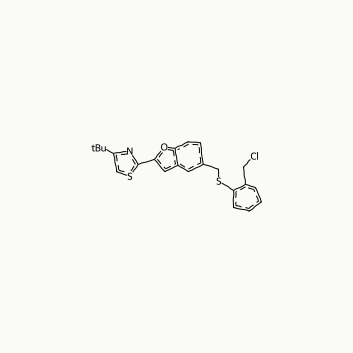 CC(C)(C)c1csc(-c2cc3cc(CSc4ccccc4CCl)ccc3o2)n1